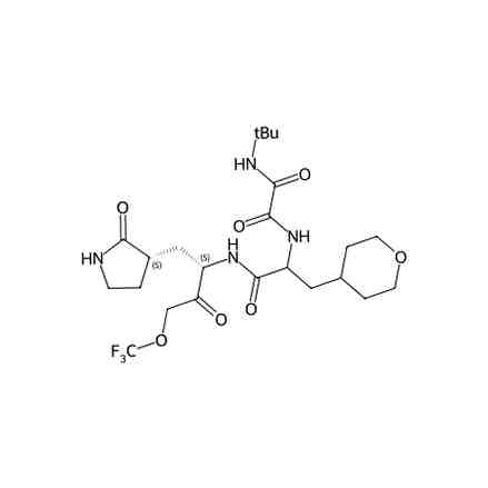 CC(C)(C)NC(=O)C(=O)NC(CC1CCOCC1)C(=O)N[C@@H](C[C@@H]1CCNC1=O)C(=O)COC(F)(F)F